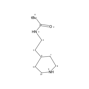 CC(C)(C)C(=O)NCCC1CCNCC1